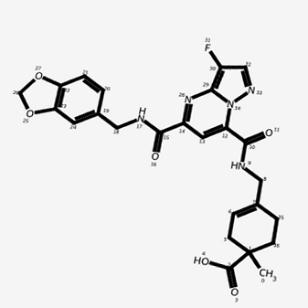 CC1(C(=O)O)CC=C(CNC(=O)c2cc(C(=O)NCc3ccc4c(c3)OCO4)nc3c(F)cnn23)CC1